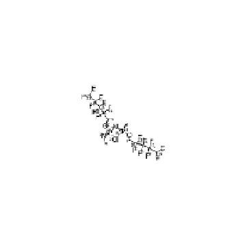 CN=P(Cl)(N=P(C)(C)OCC(F)(F)C(F)(F)C(F)(F)C(F)F)OCC(F)(F)C(F)(F)C(F)(F)C(F)F